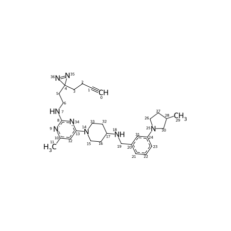 C#CCCC1(CCNc2nc(C)cc(N3CCC(NCc4cccc(N5CCC(C)C5)c4)CC3)n2)N=N1